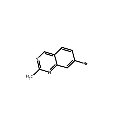 Cc1ncc2ccc(Br)cc2n1